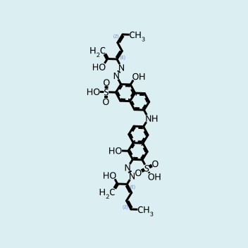 C=C(O)/C(=C\C=C/C)N=Nc1c(S(=O)(=O)O)cc2cc(Nc3ccc4c(O)c(N=N/C(=C/C=C\C)C(=C)O)c(S(=O)(=O)O)cc4c3)ccc2c1O